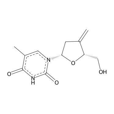 C=C1C[C@@H](n2cc(C)c(=O)[nH]c2=O)O[C@H]1CO